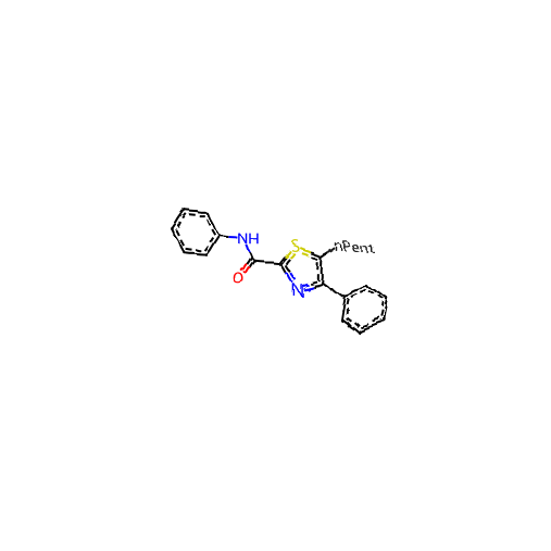 CCCCCc1sc(C(=O)Nc2ccccc2)nc1-c1ccccc1